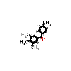 Cc1ccc(C(=O)c2cc(C)c(C)c(C)c2)cc1